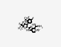 COc1c([C@H]2[C@H](c3nc4c(C(=N)N)[n+]([O-])ccc4[nH]3)O[C@@](C)(C(F)(F)F)[C@H]2C)ccc(F)c1F